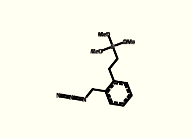 CO[Si](CCc1ccccc1CN=[N+]=[N-])(OC)OC